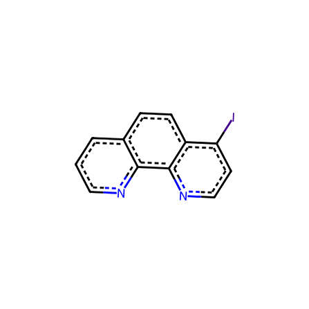 Ic1ccnc2c1ccc1cccnc12